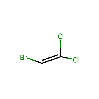 ClC(Cl)=[C]Br